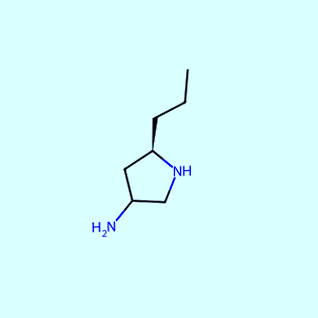 CCC[C@@H]1CC(N)CN1